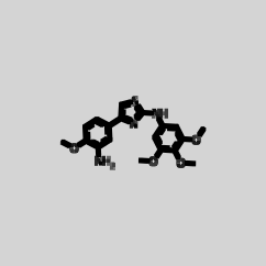 COc1ccc(-c2csc(Nc3cc(OC)c(OC)c(OC)c3)n2)cc1N